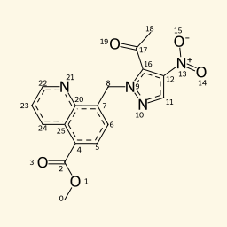 COC(=O)c1ccc(Cn2ncc([N+](=O)[O-])c2C(C)=O)c2ncccc12